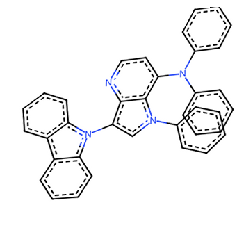 c1ccc(N(c2ccccc2)c2ccnc3c(-n4c5ccccc5c5ccccc54)cn(-c4ccccc4)c23)cc1